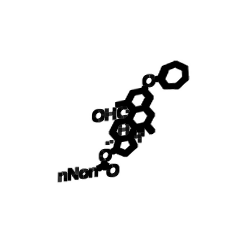 CCCCCCCCCC(=O)OC1CC[C@H]2[C@@H]3C(C)CC4=CC(OC5=CCCCCC5)CC(C)[C@]4(C=O)[C@@H]3CC[C@]12C